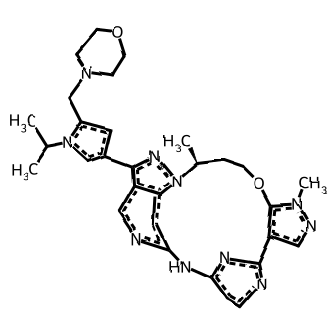 CC(C)n1cc(-c2nn3c4cc(ncc24)Nc2ccnc(n2)-c2cnn(C)c2OCC[C@@H]3C)cc1CN1CCOCC1